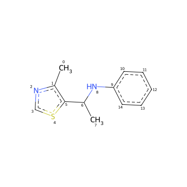 Cc1ncsc1C(C)Nc1ccccc1